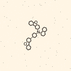 c1ccc2c(N(c3ccc(-c4ccc5oc6ccccc6c5c4)cc3)c3ccc4oc5ccccc5c4c3)cccc2c1